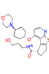 O=C(NCCCO)[C@H]1CCc2sc3nccc(O[C@H]4CC[C@H](N5CCOCC5)CC4)c3c21